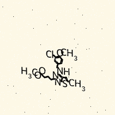 COC(=O)CCCc1nc(NCc2ccc(OC)c(Cl)c2)c2cc(C)sc2n1